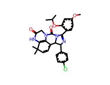 COc1ccc(C2=NC(c3ccc(Cl)cc3)C3N2C(=O)N2CC(=O)NC4=C2C3(C)C=CC4(C)C)c(OC(C)C)c1